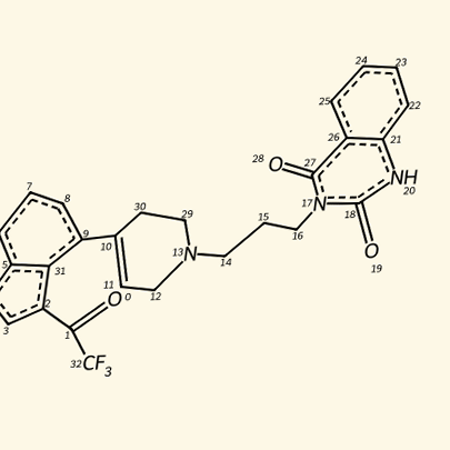 O=C(c1c[nH]c2cccc(C3=CCN(CCCn4c(=O)[nH]c5ccccc5c4=O)CC3)c12)C(F)(F)F